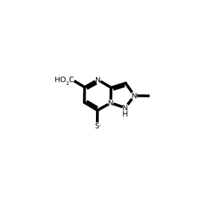 CN1C=C2N=C(C(=O)O)C=C([S])N2N1